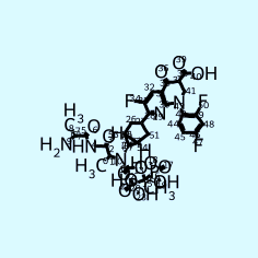 CC(C(=O)NC(=O)[C@H](C)N)N(C(=O)OC(C)(P(=O)(O)O)P(=O)(O)O)[C@H]1[C@@H]2CC(c3nc4c(cc3F)C(=O)C(C(=O)O)CN4c3ccc(F)cc3F)C[C@@H]21